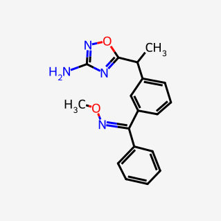 CON=C(c1ccccc1)c1cccc(C(C)c2nc(N)no2)c1